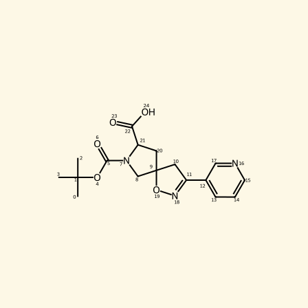 CC(C)(C)OC(=O)N1CC2(CC(c3cccnc3)=NO2)CC1C(=O)O